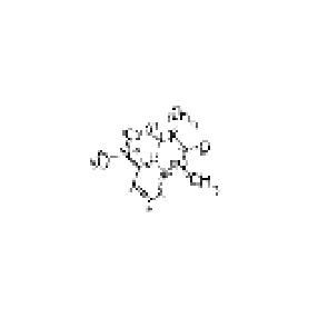 Cn1c(=O)c2c([N+](=O)[O-])cccc2n(C)c1=O